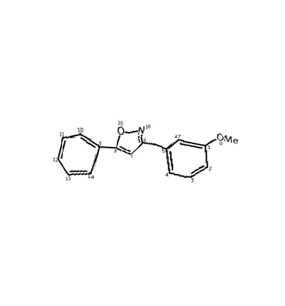 COc1cccc(-c2cc(-c3ccccc3)on2)c1